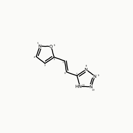 C(=C\c1ccno1)/c1nnn[nH]1